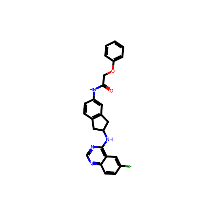 O=C(COc1ccccc1)Nc1ccc2c(c1)CC(Nc1ncnc3ccc(F)cc13)C2